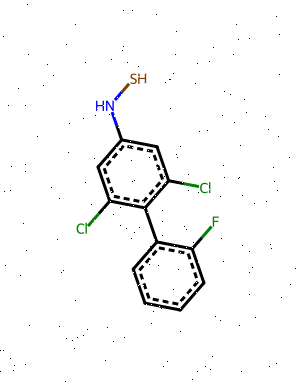 Fc1ccccc1-c1c(Cl)cc(NS)cc1Cl